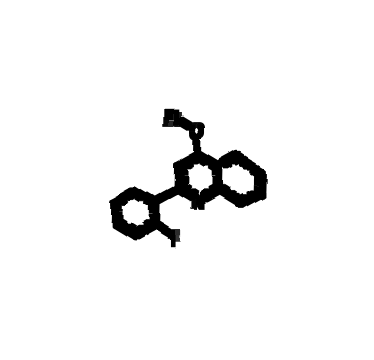 CCOc1cc(-c2ccccc2F)nc2ccccc12